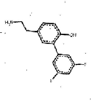 NCCc1ccc(O)c(-c2cc(F)cc(F)c2)c1